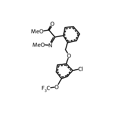 CON=C(C(=O)OC)c1ccccc1COc1ccc(OC(F)(F)F)cc1Cl